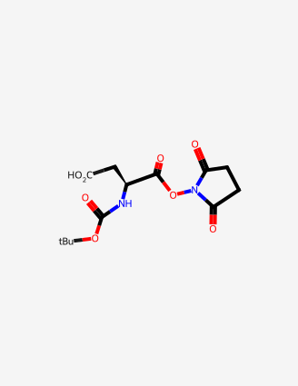 CC(C)(C)OC(=O)N[C@@H](CC(=O)O)C(=O)ON1C(=O)CCC1=O